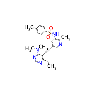 CCc1ncnc(N(C)C)c1C#Cc1cnc(C)c(NS(=O)(=O)c2ccc(C)cc2)c1